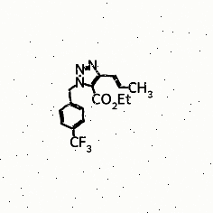 CC=Cc1nnn(Cc2ccc(C(F)(F)F)cc2)c1C(=O)OCC